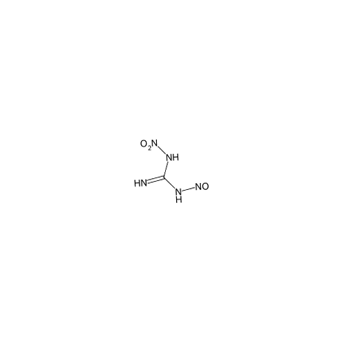 N=C(NN=O)N[N+](=O)[O-]